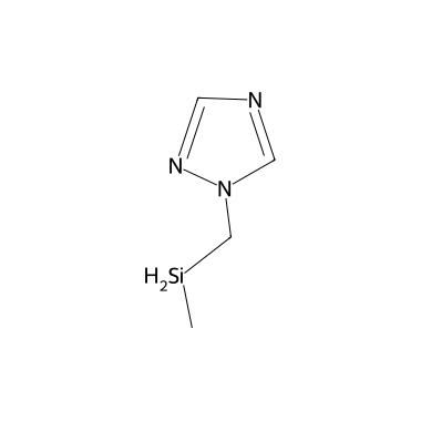 C[SiH2]Cn1cncn1